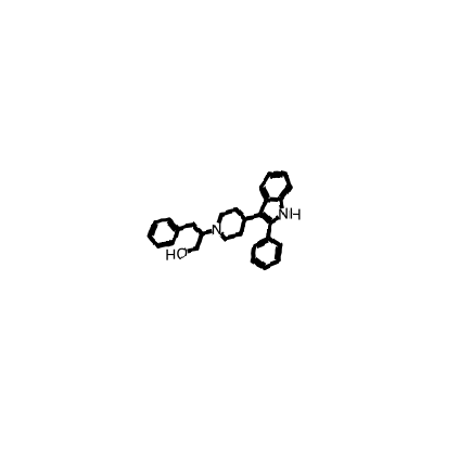 OCC(Cc1ccccc1)N1CCC(c2c(-c3ccccc3)[nH]c3ccccc23)CC1